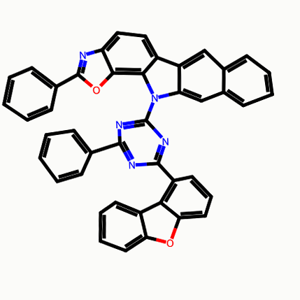 c1ccc(-c2nc(-c3cccc4oc5ccccc5c34)nc(-n3c4cc5ccccc5cc4c4ccc5nc(-c6ccccc6)oc5c43)n2)cc1